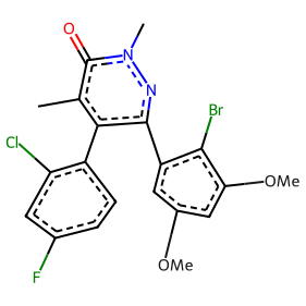 COc1cc(OC)c(Br)c(-c2nn(C)c(=O)c(C)c2-c2ccc(F)cc2Cl)c1